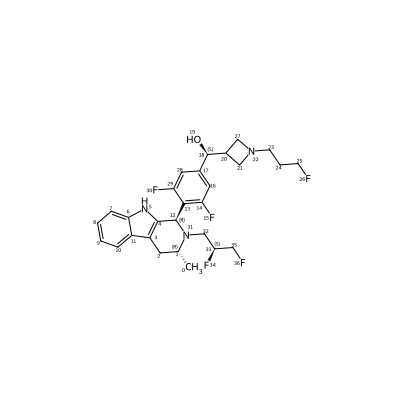 C[C@@H]1Cc2c([nH]c3ccccc23)[C@@H](c2c(F)cc([C@@H](O)C3CN(CCCF)C3)cc2F)N1C[C@H](F)CF